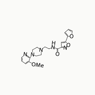 COc1cccnc1N1CCN(CCNC(=O)c2cc(-c3ccco3)on2)CC1